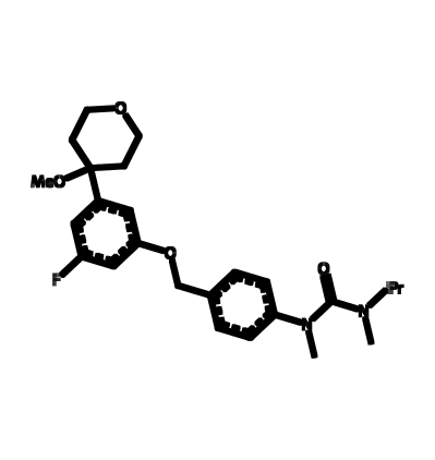 COC1(c2cc(F)cc(OCc3ccc(N(C)C(=O)N(C)C(C)C)cc3)c2)CCOCC1